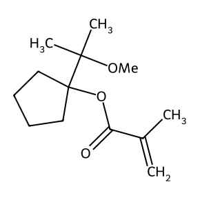 C=C(C)C(=O)OC1(C(C)(C)OC)CCCC1